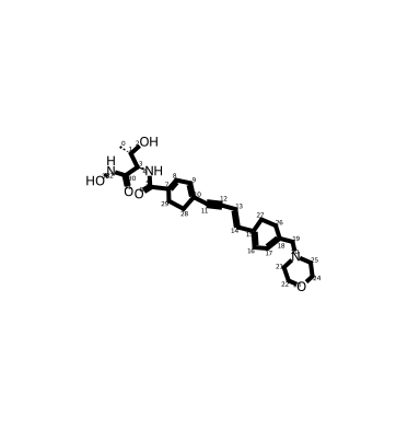 C[C@H](O)[C@H](NC(=O)C1=CC=C(C#C/C=C/C2=CC=C(CN3CCOCC3)CC2)CC1)C(=O)NO